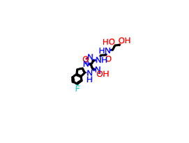 O=C(CNc1nonc1/C(=N/O)N[C@H]1CCc2ccc(F)cc21)NCC(O)CO